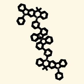 CC1(C)c2ccccc2N(c2cccc(-c3cccc4c3-c3ccccc3S43(=O)c4ccccc4-c4c(-c5cccc(N6c7ccccc7C(C)(C)c7cc8c(cc76)c6ccccc6n8-c6ccccc6)n5)cccc43)n2)c2cc3c(cc21)c1ccccc1n3-c1ccccc1